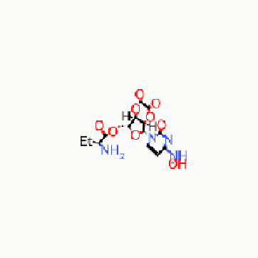 CC[C@H](N)C(=O)OC[C@H]1O[C@@H](n2ccc(NO)nc2=O)[C@@H]2OC(=O)C(=O)O[C@@H]21